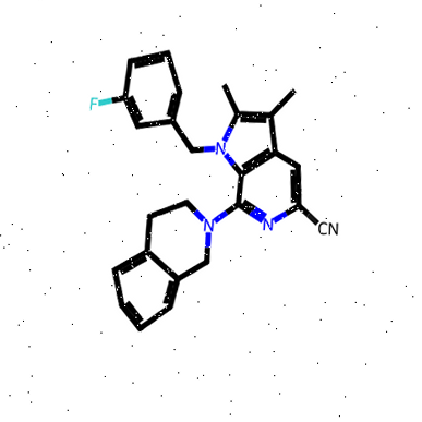 Cc1c(C)n(Cc2cccc(F)c2)c2c(N3CCc4ccccc4C3)nc(C#N)cc12